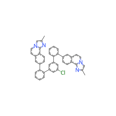 Cc1cn2ccc3cc(-c4ccccc4-c4cc(Cl)cc(-c5ccccc5-c5ccc6c(ccn7cc(C)nc67)c5)c4)ccc3c2n1